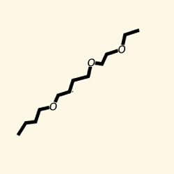 CCCCOC[CH]CCOCCOCC